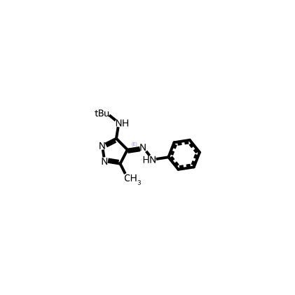 CC1=NN=C(NC(C)(C)C)/C1=N/Nc1ccccc1